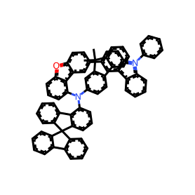 CC1(C)c2ccccc2-c2ccc(N(c3cccc4c3-c3ccccc3C43c4ccccc4-c4ccccc43)c3cccc4oc5ccc(-c6ccc7c(c6)c6ccccc6n7-c6ccccc6)cc5c34)cc21